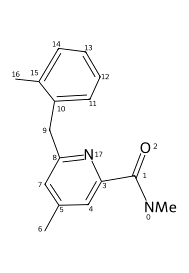 CNC(=O)c1cc(C)cc(Cc2ccccc2C)n1